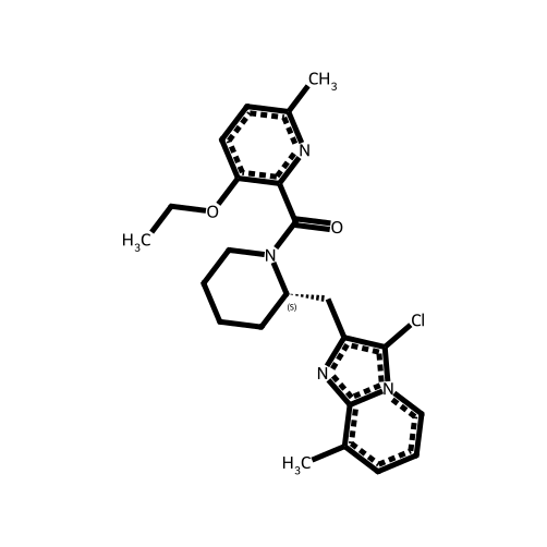 CCOc1ccc(C)nc1C(=O)N1CCCC[C@H]1Cc1nc2c(C)cccn2c1Cl